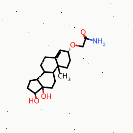 CC12CC[C@@H](OCC(N)=O)C=C1CCC1C2CCC2(O)C(O)CCC12